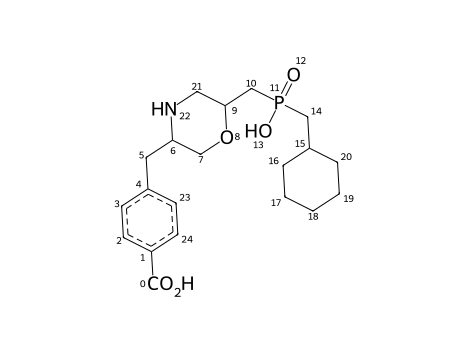 O=C(O)c1ccc(CC2COC(CP(=O)(O)CC3CCCCC3)CN2)cc1